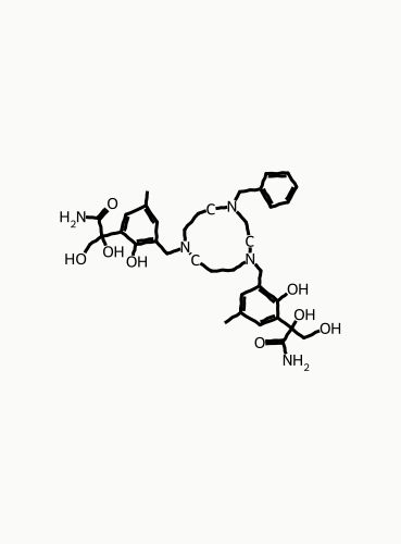 Cc1cc(CN2CCCN(Cc3ccccc3)CCN(Cc3cc(C)cc(C(O)(CO)C(N)=O)c3O)CCC2)c(O)c(C(O)(CO)C(N)=O)c1